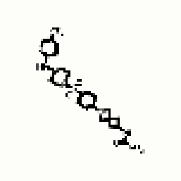 NC(=O)NC1CC2(C1)CN(c1ccc(S(=O)(=O)N3CCC(Nc4ccc(C(F)(F)F)cn4)CC3)cc1)C2